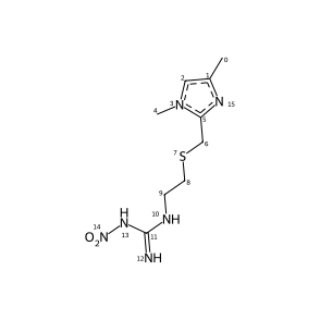 Cc1cn(C)c(CSCCNC(=N)N[N+](=O)[O-])n1